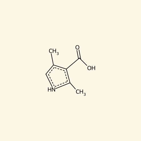 Cc1c[nH]c(C)c1C(=O)O